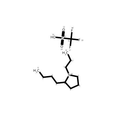 CCCCC1CCCN1CCC.O=S(=O)(O)C(F)(F)F